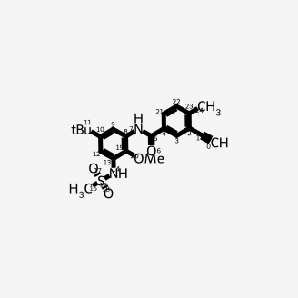 C#Cc1cc(C(=O)Nc2cc(C(C)(C)C)cc(NS(C)(=O)=O)c2OC)ccc1C